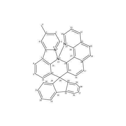 Cc1cc[n+]2c(c1)-c1cccc3c1[N+]21c2c(ccc4ccc5ccc[n+]1c5c24)C31c2ccccc2-c2ccccc21